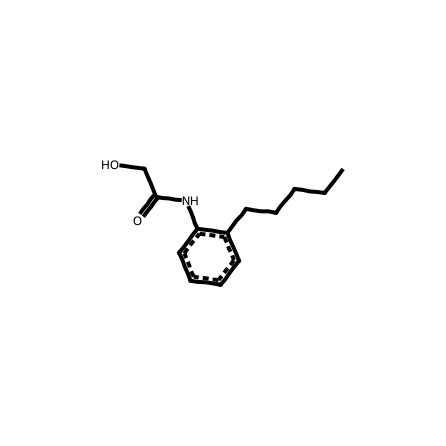 CCCCCc1ccccc1NC(=O)CO